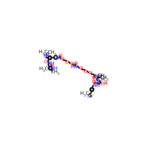 Cc1cc(C)c(CNC(=O)c2cc(C3=CCN(C(=O)COCCOCCOCC(=O)NCCOCCOCCOCCC(=O)N[C@H](C(=O)N4C[C@H](O)C[C@H]4C(=O)NCc4ccc(-c5scnc5C)cc4)C(C)(C)C)CC3)cc3c2cnn3C(C)C)c(=O)[nH]1